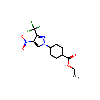 CCOC(=O)C1CCC(n2cc([N+](=O)[O-])c(C(F)(F)F)n2)CC1